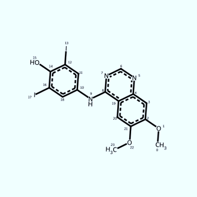 COc1cc2ncnc(Nc3cc(I)c(O)c(I)c3)c2cc1OC